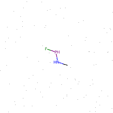 CNPF